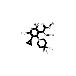 Cc1nc(C)c([C@H](OC(C)(C)C)C(=O)OC(C)C)c(N2CCC(C)(C)CC2)c1C1CC1